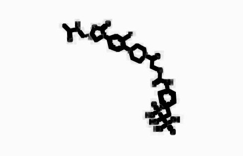 CC(=O)NC[C@H]1CN(c2ccc(N3CCN(C(=O)COC(=S)Nc4ccc(CC(O)(P(=O)(O)O)P(=O)(O)O)cc4)CC3)c(F)c2)C(=O)O1